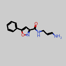 NC=CCNC(=O)c1cc(-c2ccccc2)on1